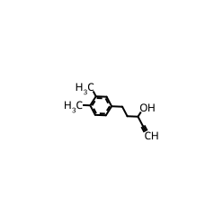 C#CC(O)CCc1ccc(C)c(C)c1